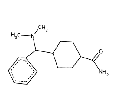 CN(C)C(c1ccccc1)C1CCC(C(N)=O)CC1